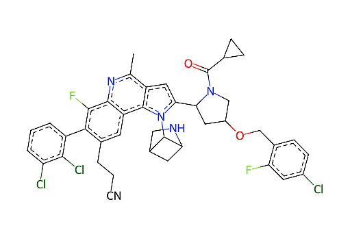 Cc1nc2c(F)c(-c3cccc(Cl)c3Cl)c(CCC#N)cc2c2c1cc(C1CC(OCc3ccc(Cl)cc3F)CN1C(=O)C1CC1)n2C1C2CNC1C2